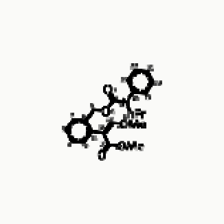 CCCN(C(=O)OCc1ccccc1C(=COC)C(=O)OC)c1ccccc1